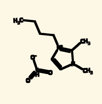 CCCC[n+]1ccn(C)c1C.O=[SH](=O)[O-]